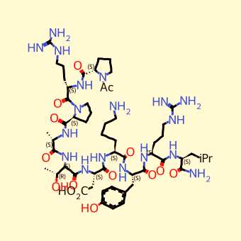 CC(=O)N1CCC[C@H]1C(=O)N[C@@H](CCCNC(=N)N)C(=O)N1CCC[C@H]1C(=O)N[C@@H](C)C(=O)N[C@H](C(=O)N[C@@H](CC(=O)O)C(=O)N[C@@H](CCCCN)C(=O)N[C@@H](Cc1ccc(O)cc1)C(=O)N[C@@H](CCCNC(=N)N)C(=O)N[C@@H](CC(C)C)C(N)=O)[C@@H](C)O